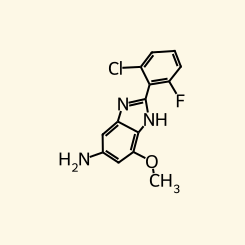 COc1cc(N)cc2nc(-c3c(F)cccc3Cl)[nH]c12